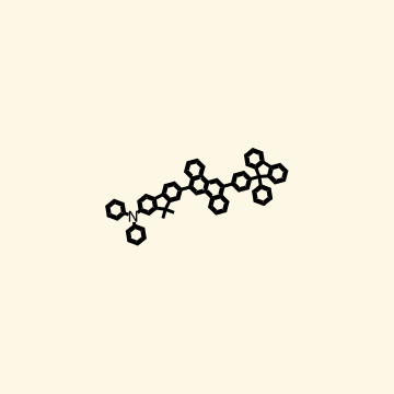 CC1(C)c2cc(-c3cc4c5ccccc5c(-c5ccc(C6(c7ccccc7)c7ccccc7-c7ccccc76)cc5)cc4c4ccccc34)ccc2-c2ccc(N(c3ccccc3)c3ccccc3)cc21